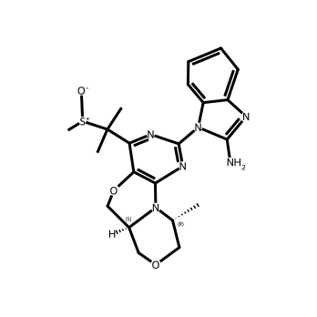 C[C@@H]1COC[C@H]2COc3c(nc(-n4c(N)nc5ccccc54)nc3C(C)(C)[S+](C)[O-])N21